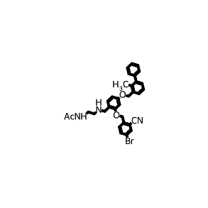 CC(=O)NCCNCc1ccc(OCc2cccc(-c3ccccc3)c2C)cc1OCc1ccc(Br)cc1C#N